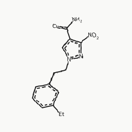 CCc1cccc(CCn2cc(C(N)=O)c([N+](=O)[O-])n2)c1